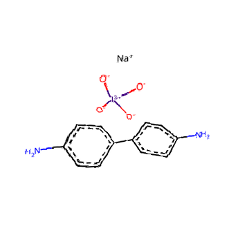 Nc1ccc(-c2ccc(N)cc2)cc1.[Na+].[O-][I+3]([O-])([O-])[O-]